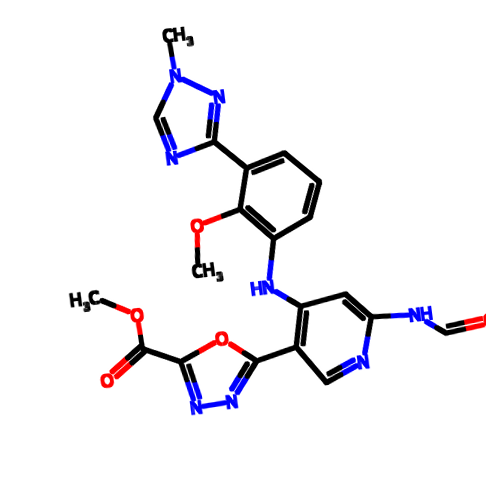 COC(=O)c1nnc(-c2cnc(NC=O)cc2Nc2cccc(-c3ncn(C)n3)c2OC)o1